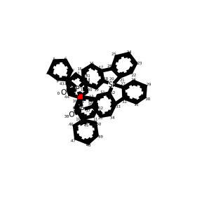 O=P(c1ccccc1)(c1ccccc1)c1ccc2c(c1)[Si]1(c3ccccc3-2)c2ccccc2-c2ccc(P(=O)(c3ccccc3)c3ccccc3)cc21